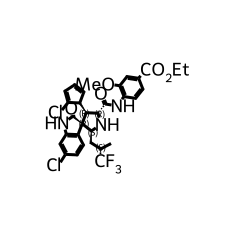 CCOC(=O)c1ccc(NC(=O)[C@@H]2N[C@@H](C[C@H](C)C(F)(F)F)[C@@]3(C(=O)Nc4cc(Cl)ccc43)[C@H]2C2C=CC=C2Cl)c(OC)c1